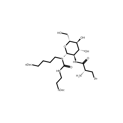 CCCCCCCCCCCCCCN(C(=O)NCCCCCCCCCCCC)[C@@H]1O[C@H](CO)[C@@H](O)[C@H](O)[C@H]1NC(=O)[C@@H](N)CC(C)C